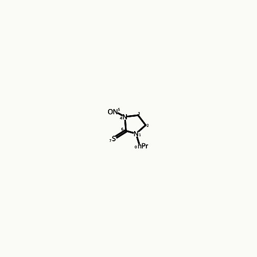 CCCN1CCN(N=O)C1=S